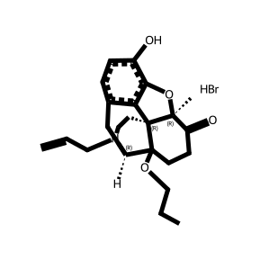 Br.C=CCN1CC[C@]23c4c5ccc(O)c4O[C@@]2(C)C(=O)CCC3(OCCC)[C@H]1C5